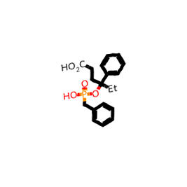 CCC(CCC(=O)O)(OP(=O)(O)Cc1ccccc1)c1ccccc1